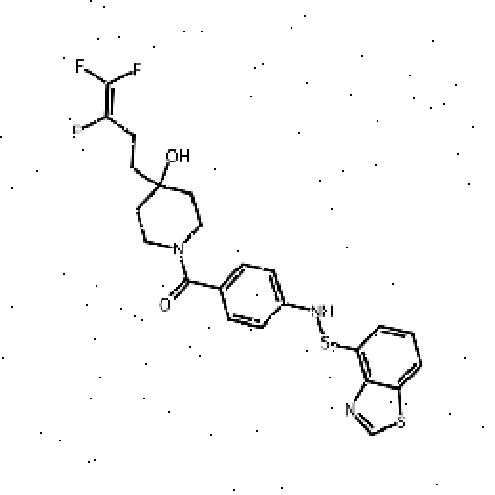 O=C(c1ccc(NSc2cccc3scnc23)cc1)N1CCC(O)(CCC(F)=C(F)F)CC1